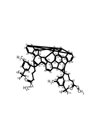 COC(=O)CCCC1(c2cc(C)cc(C(F)(F)F)c2)C2=C1C1=c3ccc4c5ccc6c7c8c9c%10c%11c%12c(c3c4c(c%129)c75)C1C1C2=C2C=CC3C(C2=C%111)C=%10C1C3C2=C(C6C81)C2(CCCC(=O)OC)c1cc(C)cc(C(F)(F)F)c1